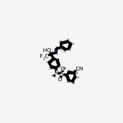 CN(c1ccc(C(O)(/C=C/c2ccccc2)C(F)(F)F)cc1)S(=O)(=O)c1cccc(C#N)c1